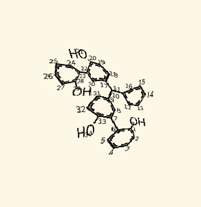 Oc1ccccc1-c1cc(C(c2ccccc2)c2ccc(O)c(-c3ccccc3O)c2)ccc1O